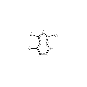 Cn1nc(Cl)c2c(Cl)ncnc21